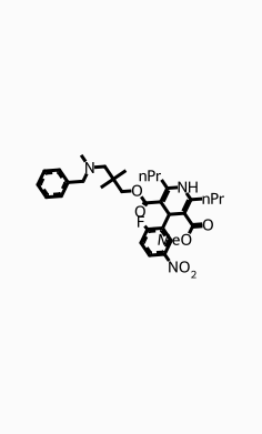 CCCC1=C(C(=O)OC)C(c2cc([N+](=O)[O-])ccc2F)C(C(=O)OCC(C)(C)CN(C)Cc2ccccc2)=C(CCC)N1